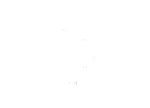 CCOC(=O)Cc1ccccc1OCc1cc(Br)c2oc(CCO)cc2c1